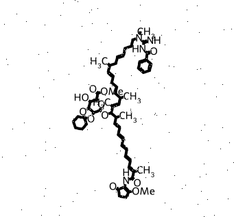 COC(=O)C1OC(OC(/C(C)=C/C(C)CCC/C=C/C(C)C/C=C/CCCN(C)C(=N)NC(=O)c2ccccc2)C(C)/C=C/C=C/C=C/C=C/C=C(\C)C(=O)NC2=C(OC)CCC2=O)C2OC3(CCCCC3)OC2C1O